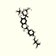 CC1(c2cc3c(cc2F)CNC(c2ccc(OCC(F)(F)C(F)F)cn2)=N3)C[C@@H](C(F)(F)F)OC(N)=N1